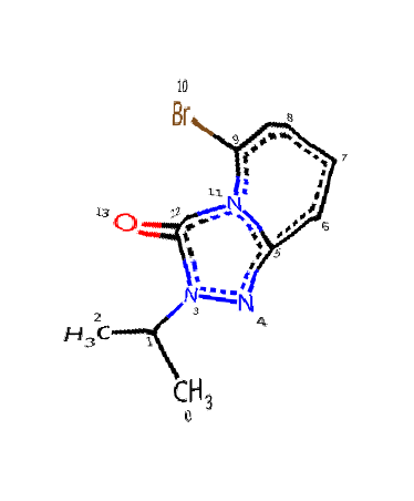 CC(C)n1nc2cccc(Br)n2c1=O